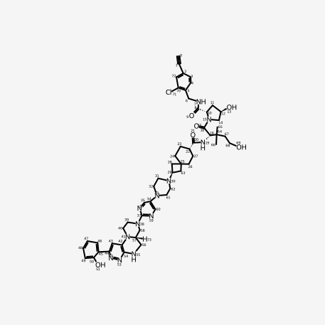 C#Cc1ccc(CNC(=O)[C@@H]2C[C@@H](O)CN2C(=O)[C@@H](NC(=O)[C@H]2CCC3(CC2)C[C@H](N2CCN(c4cnc(N5CCN6c7cc(-c8ccccc8O)nnc7NC[C@H]6C5)nc4)CC2)C3)C(C)(C)CCO)c(Cl)c1